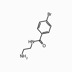 NCCNC(=O)c1ccc(Br)cc1